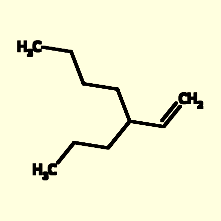 C=CC(CCC)CCCC